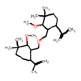 C=C(C)C1CCC(C)(C)C(OC)C1COCC1C(C(=C)C)CCC(C)(C)C1OC